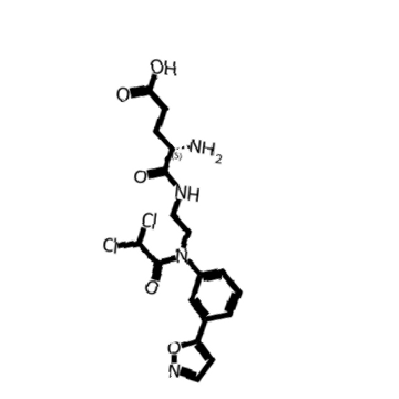 N[C@@H](CCC(=O)O)C(=O)NCCN(C(=O)C(Cl)Cl)c1cccc(-c2ccno2)c1